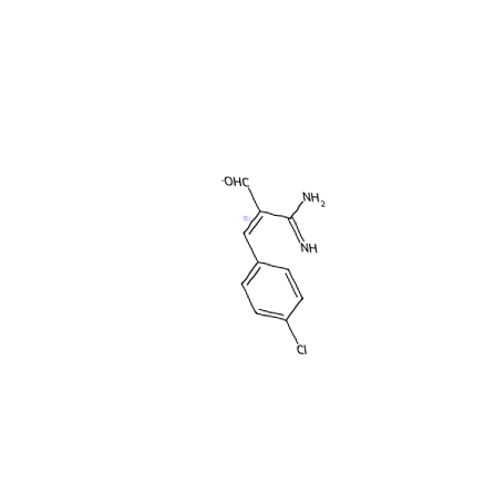 N=C(N)/C([C]=O)=C\c1ccc(Cl)cc1